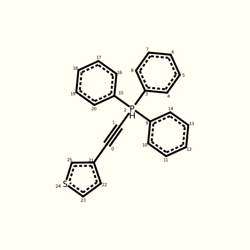 C(#C[PH](c1ccccc1)(c1ccccc1)c1ccccc1)c1ccsc1